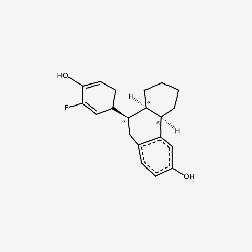 OC1=CCC([C@@H]2Cc3ccc(O)cc3[C@@H]3CCCC[C@@H]32)C=C1F